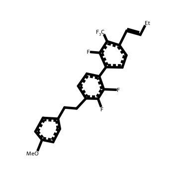 CC/C=C/c1ccc(-c2ccc(CCc3ccc(OC)cc3)c(F)c2F)c(F)c1C(F)(F)F